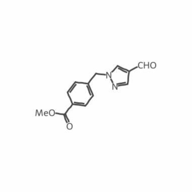 COC(=O)c1ccc(Cn2cc(C=O)cn2)cc1